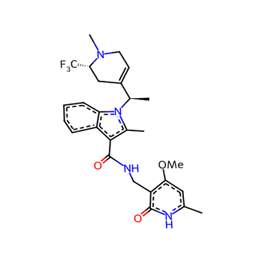 COc1cc(C)[nH]c(=O)c1CNC(=O)c1c(C)n([C@H](C)C2=CCN(C)[C@@H](C(F)(F)F)C2)c2ccccc12